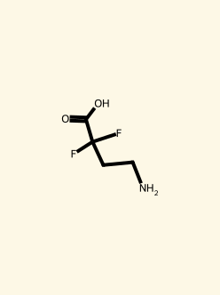 NCCC(F)(F)C(=O)O